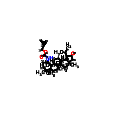 CC(C)C1=C2[C@H]3CC[C@@H]4[C@@]5(C)C(NC(=O)OCC6CC6)CCC(C)(C)[C@@H]5CC[C@@]4(C)[C@]3(C)CC[C@@]2(C)CC1=O